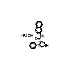 Cl.Cl.O=C(Nc1cc2ccccc2cn1)[C@@H]1CNC[C@H]1c1ccccc1